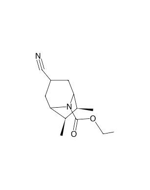 CCOC(=O)N1C2CC(C#N)CC1[C@H](C)[C@@H]2C